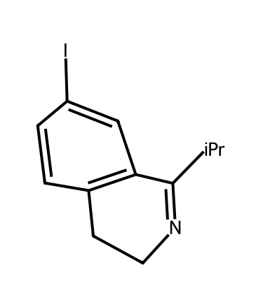 CC(C)C1=NCCc2ccc(I)cc21